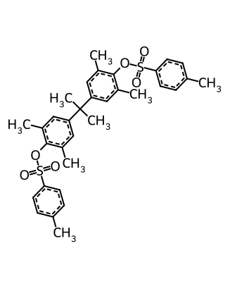 Cc1ccc(S(=O)(=O)Oc2c(C)cc(C(C)(C)c3cc(C)c(OS(=O)(=O)c4ccc(C)cc4)c(C)c3)cc2C)cc1